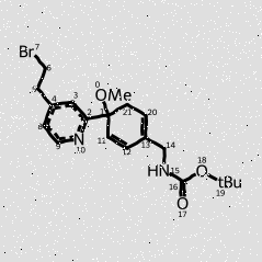 COC1(c2cc(CCBr)ccn2)C=CC(CNC(=O)OC(C)(C)C)=CC1